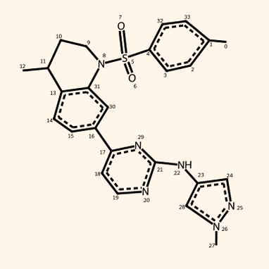 Cc1ccc(S(=O)(=O)N2CCC(C)c3ccc(-c4ccnc(Nc5cnn(C)c5)n4)cc32)cc1